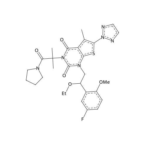 CCOC(Cn1c(=O)n(C(C)(C)C(=O)N2CCCC2)c(=O)c2c(C)c(-n3nccn3)sc21)c1cc(F)ccc1OC